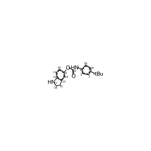 CC(C)(C)c1ccc(NC(=O)Oc2ccc3c(c2)CCN3)cc1